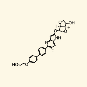 OCCOc1ccc(-c2ccc(-c3nc4cc(O[C@@H]5CO[C@H]6[C@@H]5OC[C@H]6O)[nH]c4cc3F)cc2)cc1